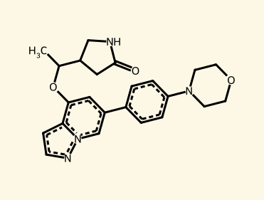 CC(Oc1cc(-c2ccc(N3CCOCC3)cc2)cn2nccc12)C1CNC(=O)C1